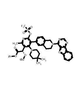 Cc1nc(OS(=O)(=O)C(F)(F)F)c(-c2ccc3c(c2)CCN(c2ncnc4c2oc2ccccc24)C3)c(N2CCC(C)(C)CC2)c1[C@H](OC(C)(C)C)C(=O)OC(C)C